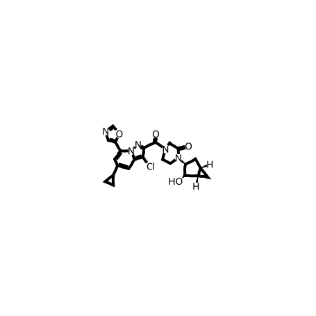 O=C(c1nn2c(-c3cnco3)cc(C3CC3)cc2c1Cl)N1CCN([C@H]2C[C@@H]3C[C@@H]3[C@@H]2O)C(=O)C1